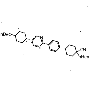 CCCCCCCCCC[C@H]1CC[C@H](c2cnc(-c3ccc([C@H]4CC[C@@](C#N)(CCCCCC)CC4)cc3)nc2)CC1